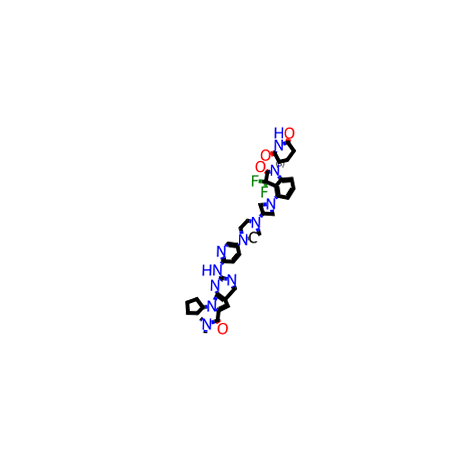 CN(C)C(=O)c1cc2cnc(Nc3ccc(N4CCN(C5CN(c6cccc7c6C(F)(F)C(=O)N7[C@H]6CCC(=O)NC6=O)C5)CC4)cn3)nc2n1C1CCCC1